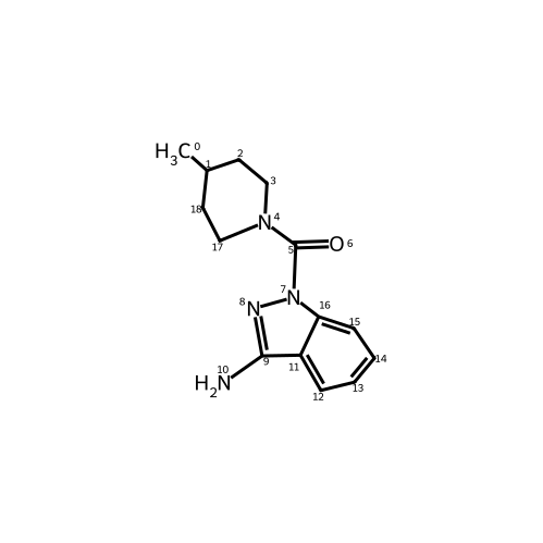 CC1CCN(C(=O)n2nc(N)c3ccccc32)CC1